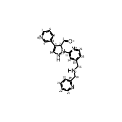 O=CC1C(c2cccnc2)=CNN1c1cc(CNCc2ccccn2)ccn1